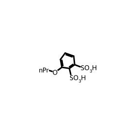 CCCOc1cccc(S(=O)(=O)O)c1S(=O)(=O)O